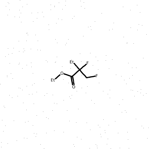 CCOC(=O)C(F)(CC)CF